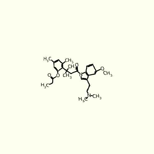 CCC(=O)Oc1cc(C)cc(C)c1C(C)(C)CC(=O)n1cc(CCN(C)C)c2cc(OC)ccc21